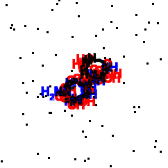 CO[C@H]1/C=C/O[C@@]2(C)Oc3c(C)c(O)c4c(O)c(cc(OCC(=O)NCCNC(C)C(=O)NCC5NC(=O)C(C(C)=O)NC(=O)C(O)CNC(=O)C(C(C)O)NC(=O)C(C(O)C(O)C(N)=O)NC(=O)C(C(C)C)CC(=O)C(CO)NC5=O)c4c3C2=O)NC(=O)/C(C)=C\C=C\C(C)[C@H](O)[C@@H](C)[C@@H](O)C(C)C(OC(C)=O)[C@@H]1C